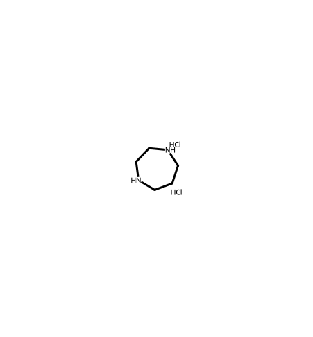 C1CNCCNC1.Cl.Cl